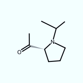 CC(=O)[C@H]1CCCN1C(C)C